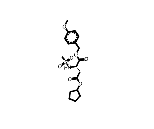 COc1ccc(COC(=O)[C@H](CC(=O)OC2CCCC2)NS(C)(=O)=O)cc1